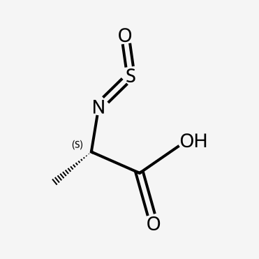 C[C@H](N=S=O)C(=O)O